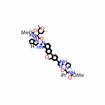 COC(=O)N[C@H](C(=O)N1[C@@H](C)CC[C@H]1c1ncc(-c2ccc3c(c2)COc2cc4c(ccc5nc([C@@H]6C[C@@H]7CCC[C@@H]7N6C(=O)[C@@H](NC(=O)OC)C6C[C@@H](C)O[C@H](C)C6)[nH]c54)cc2-3)[nH]1)C(C)C